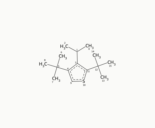 CC(C)c1c(C(C)(C)C)csc1C(C)(C)C